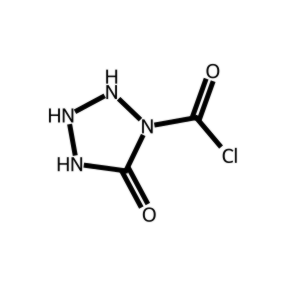 O=C(Cl)N1NNNC1=O